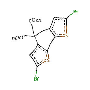 CCCCCCCCC1(CCCCCCCC)c2cc(Br)sc2-c2sc(Br)cc21